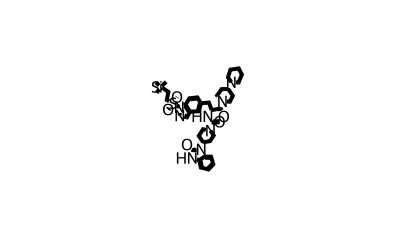 C[Si](C)(C)CCS(=O)(=O)n1ncc2cc(CC(NC(=O)N3CCC(n4c(=O)[nH]c5ccccc54)CC3)C(=O)N3CCC(N4CCCCC4)CC3)ccc21